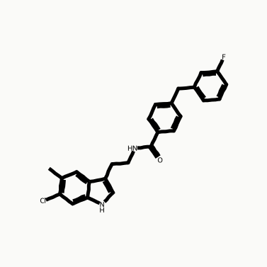 Cc1cc2c(CCNC(=O)c3ccc(Cc4cccc(F)c4)cc3)c[nH]c2cc1Cl